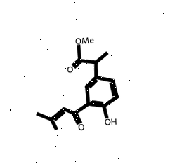 COC(=O)C(C)c1ccc(O)c(C(=O)C=C(C)C)c1